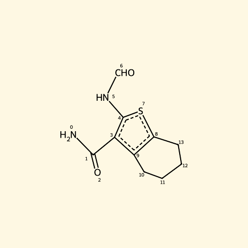 NC(=O)c1c(NC=O)sc2c1CCCC2